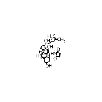 CC(C)CCCC(C)[C@H]1CC[C@H]2[C@@H]3CC=C4C[C@@H](O)CC[C@]4(C)[C@H]3CC[C@]12C.O=C1C=CC(=O)N1